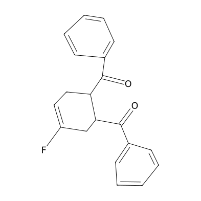 O=C(c1ccccc1)C1CC=C(F)CC1C(=O)c1ccccc1